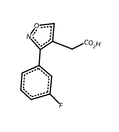 O=C(O)Cc1conc1-c1cccc(F)c1